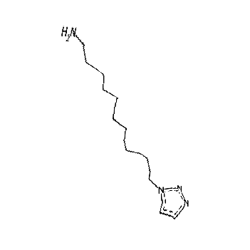 NCCCCCCCCCCn1ccnn1